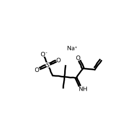 C=CC(=O)C(=N)C(C)(C)CS(=O)(=O)[O-].[Na+]